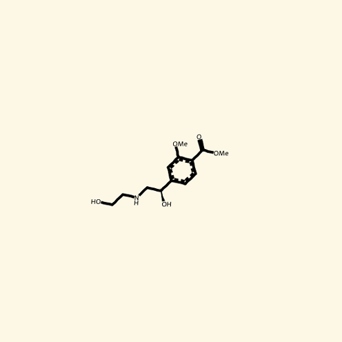 COC(=O)c1ccc([C@@H](O)CNCCO)cc1OC